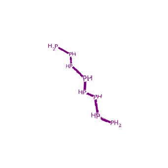 PPPPPPPP